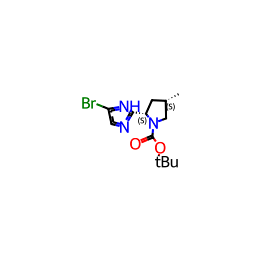 C[C@H]1C[C@@H](c2ncc(Br)[nH]2)N(C(=O)OC(C)(C)C)C1